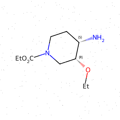 CCOC(=O)N1CC[C@H](N)[C@H](OCC)C1